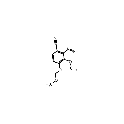 COCOc1ccc(C#N)c(N=N)c1OC